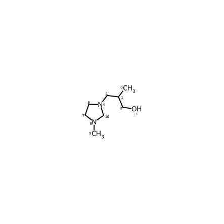 CC(CO)CN1CCN(C)C1